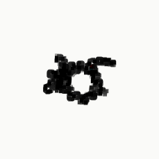 CC[C@H](C)[C@H]1NC(=O)[C@@H](NC(=O)[C@@H](CC(C)C)N(C)C(=O)CNC(=O)C2C=C3C=CC=CC3OC2=O)[C@@H](C)OC(=O)[C@H](Cc2ccc(OC)cc2)N(C)C(=O)[C@@H]2CCCN2C(=O)[C@H](CC(C)C)NC(=O)[C@@H](C)C(=O)[C@H](C(C)C)OC(=O)C[C@@H]1O